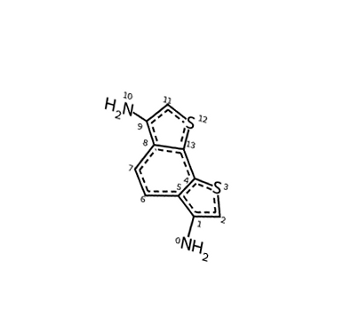 Nc1csc2c1ccc1c(N)csc12